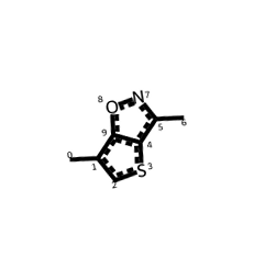 Cc1csc2c(C)noc12